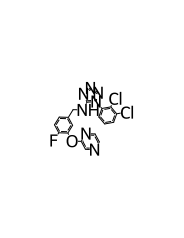 Fc1ccc(CNc2nnnn2-c2cccc(Cl)c2Cl)cc1Oc1cnccn1